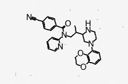 CC(CN(C(=O)c1ccc(C#N)cc1)c1ccccn1)C1CN(c2cccc3c2OCCO3)CCN1